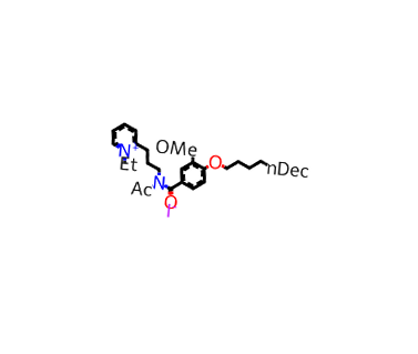 CCCCCCCCCCCCCCOc1ccc(C(=O)N(CCCc2cccc[n+]2CC)C(C)=O)cc1OC.[I-]